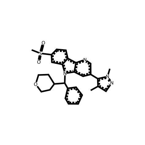 Cc1cnn(C)c1-c1cnc2c3ccc(S(C)(=O)=O)cc3n(C(c3ccccc3)C3CCOCC3)c2c1